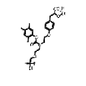 CCOC(Cc1ccc(OCCN(CCOCC(F)(F)CC)C(=O)Oc2cc(C)c(C)cc2C)cc1)C(=O)O